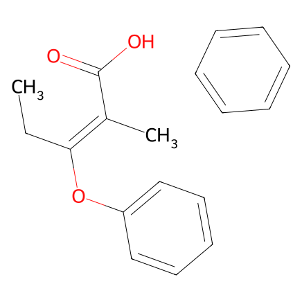 CCC(Oc1ccccc1)=C(C)C(=O)O.c1ccccc1